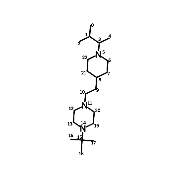 CC(C)C(C)N1CCC(CCN2CCN(C(C)(C)C)CC2)CC1